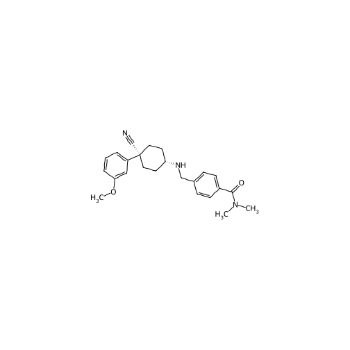 COc1cccc([C@]2(C#N)CC[C@@H](NCc3ccc(C(=O)N(C)C)cc3)CC2)c1